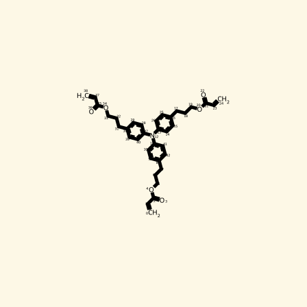 C=CC(=O)OCCCc1ccc(N(c2ccc(CCCOC(=O)C=C)cc2)c2ccc(CCCOC(=O)C=C)cc2)cc1